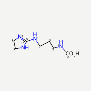 O=C(O)NCCCNC1=NCCN1